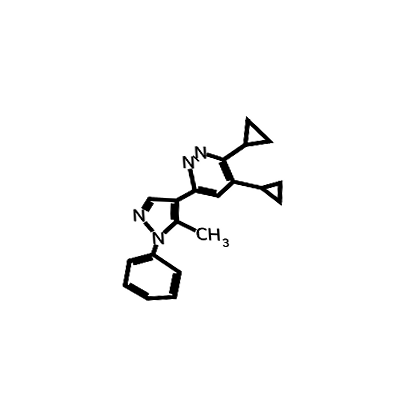 Cc1c(-c2cc(C3CC3)c(C3CC3)nn2)cnn1-c1ccccc1